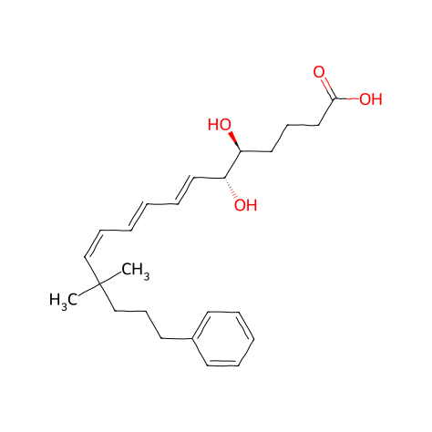 CC(C)(\C=C/C=C/C=C/[C@@H](O)[C@@H](O)CCCC(=O)O)CCCc1ccccc1